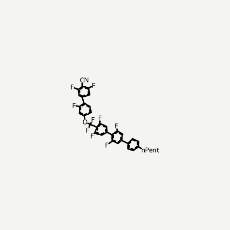 CCCCCc1ccc(-c2cc(F)c(-c3cc(F)c(C(F)(F)Oc4ccc(-c5cc(F)c(C#N)c(F)c5)c(F)c4)c(F)c3)c(F)c2)cc1